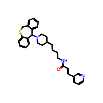 O=C(C=Cc1cccnc1)NCCCCC1CCN(C2c3ccccc3CSc3ccccc32)CC1